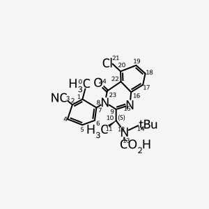 Cc1c(C#N)cccc1-n1c([C@H](C)N(C(=O)O)C(C)(C)C)nc2cccc(Cl)c2c1=O